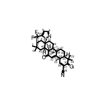 CC1(C)CC[C@]2(n3nccc3C(F)(F)F)CC[C@]3(C)[C@H](C(=O)C=C4[C@@]5(C)C=C(C#N)C(=O)C(C)(C)[C@@H]5CC[C@]43C)[C@@H]2C1